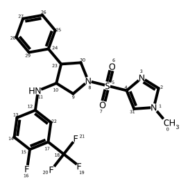 Cn1cnc(S(=O)(=O)N2CC(Nc3ccc(F)c(C(F)(F)F)c3)C(c3ccccc3)C2)c1